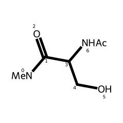 CNC(=O)C(CO)NC(C)=O